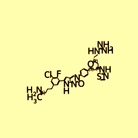 C[C@H](N)CCCc1cc(Cl)c(F)c(-c2cc3cn(-c4ccc([C@@H]5C[C@H](Nc6nccs6)C[C@@H](CCNC(=N)N)O5)cc4)c(=O)nc3[nH]2)c1